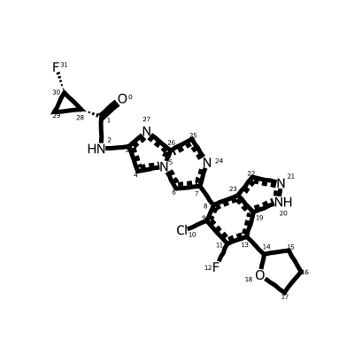 O=C(Nc1cn2cc(-c3c(Cl)c(F)c(C4CCCO4)c4[nH]ncc34)ncc2n1)[C@@H]1C[C@@H]1F